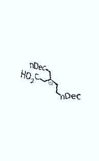 CCCCCCCCCCCC[C@H](CCCCCCCCCCC)CC(=O)O